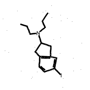 CCCN(CCC)C1Cc2ccc(I)cc2C1